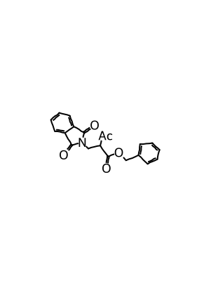 CC(=O)C(CN1C(=O)c2ccccc2C1=O)C(=O)OCc1ccccc1